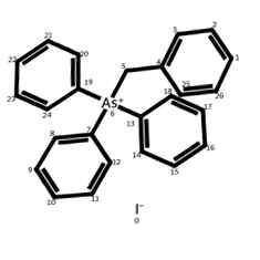 [I-].c1ccc(C[As+](c2ccccc2)(c2ccccc2)c2ccccc2)cc1